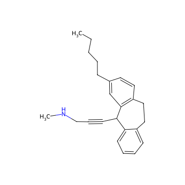 CCCCCc1ccc2c(c1)C(C#CCNC)c1ccccc1CC2